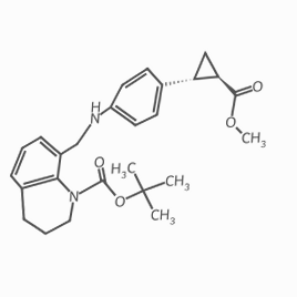 COC(=O)[C@@H]1C[C@H]1c1ccc(NCc2cccc3c2N(C(=O)OC(C)(C)C)CCC3)cc1